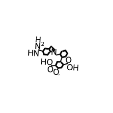 COc1cc(C(=O)O)c(-c2ccccc2Cn2ccc3cc(C(=N)N)ccc32)cc1C(=O)O